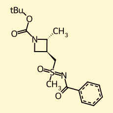 C[C@@H]1[C@@H](CS(C)(=O)=NC(=O)c2ccccc2)CN1C(=O)OC(C)(C)C